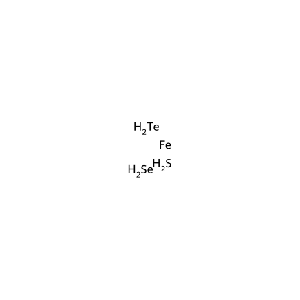 S.[Fe].[SeH2].[TeH2]